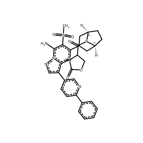 CS(=O)(=O)c1c(C2C[C@H]3CC[C@@H](C2)N3C(=O)C2COC(=O)N2)nc2c(-c3ccc(-c4ccccc4)nc3)cnn2c1N